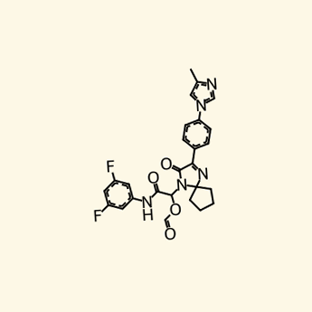 Cc1cn(-c2ccc(C3=NC4(CCCC4)N(C(OC=O)C(=O)Nc4cc(F)cc(F)c4)C3=O)cc2)cn1